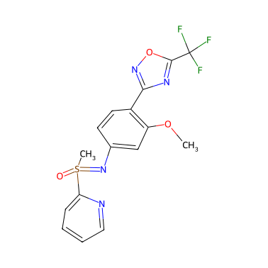 COc1cc(N=S(C)(=O)c2ccccn2)ccc1-c1noc(C(F)(F)F)n1